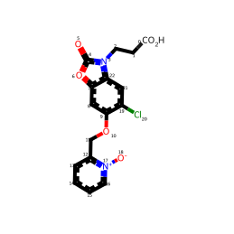 O=C(O)CCn1c(=O)oc2cc(OCc3cccc[n+]3[O-])c(Cl)cc21